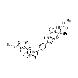 CC(C)[C@@H](NC(=O)OC(C)(C)C)C(=O)N1CCC[C@H]1c1ncc(-c2ccc(-c3cnc([C@@H]4CCCN4C(=O)[C@H](NC(=O)OC(C)(C)C)C(C)C)[nH]3)cc2)[nH]1